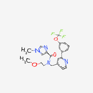 COCCN(Cc1ccnc(-c2cccc(OC(F)(F)F)c2)c1)C(=O)c1cn(C)cn1